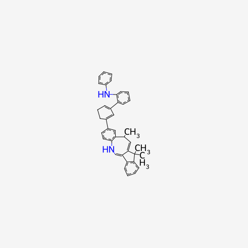 CC1/C=C2\C(=C/Nc3ccc(C4=CC(c5ccccc5Nc5ccccc5)=CCC4)cc31)c1ccccc1C2(C)C